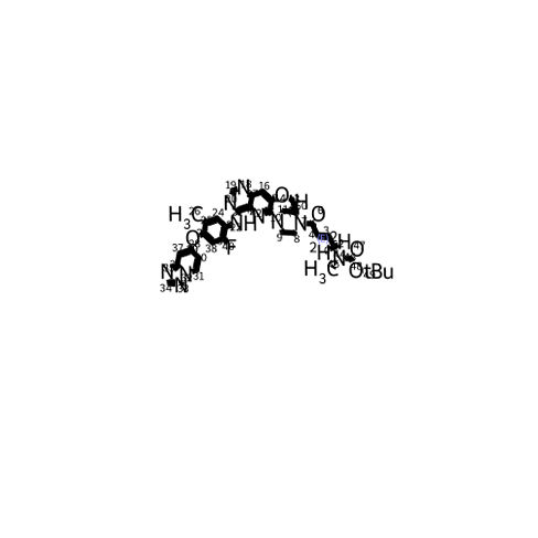 [2H]C([2H])(/C=C/C(=O)N1CCN2C[C@H]1COc1cc3ncnc(Nc4cc(C)c(Oc5ccn6ncnc6c5)cc4F)c3nc12)N(C)C(=O)OC(C)(C)C